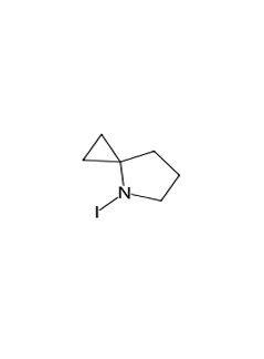 IN1CCCC12CC2